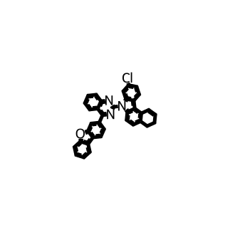 Clc1ccc2c3c4c(ccc3n(-c3nc(-c5ccc6c(c5)oc5ccccc56)c5ccccc5n3)c2c1)CCC=C4